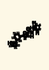 O=C(N[C@@H]1C[C@H]2CC[C@@H]1N2)c1ccc(-c2cccc(-c3ccc[nH]3)c2)o1